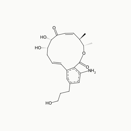 C[C@@H]1/C=C\C(=O)[C@@H](O)[C@@H](O)C/C=C/c2cc(CCCO)cc(N)c2C(=O)O[C@H]1C